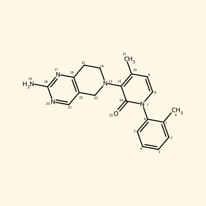 Cc1ccccc1-n1ccc(C)c(N2CCc3nc(N)ncc3C2)c1=O